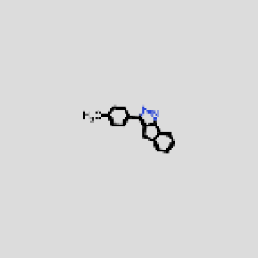 Cc1ccc(C2=C3Cc4ccccc4C3N=N2)cc1